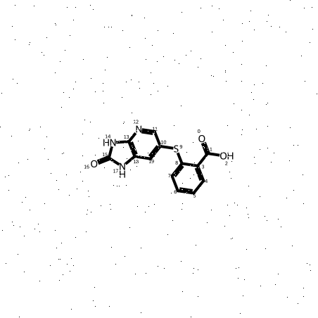 O=C(O)c1ccccc1Sc1cnc2[nH]c(=O)[nH]c2c1